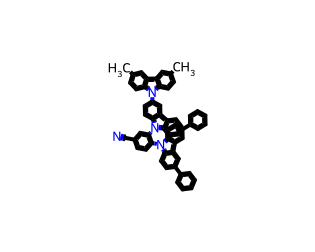 Cc1ccc2c(c1)c1cc(C)ccc1n2-c1ccc2c(c1)c1ccccc1n2-c1cc(C#N)ccc1-n1c2ccc(-c3ccccc3)cc2c2cc(-c3ccccc3)ccc21